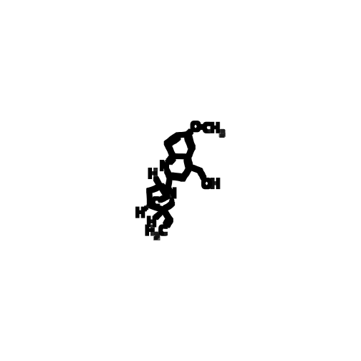 C=C[C@H]1C[N@]2CC[C@H]1C[C@@H]2c1cc(CO)c2cc(OC)ccc2n1